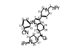 CC(C)CN1CC=C(c2cn(-c3cccc(C#N)c3)c3cc(C(=O)N4CCN(C(C)C)CC4)ccc23)CC1